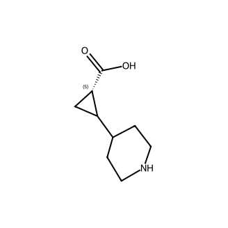 O=C(O)[C@H]1CC1C1CCNCC1